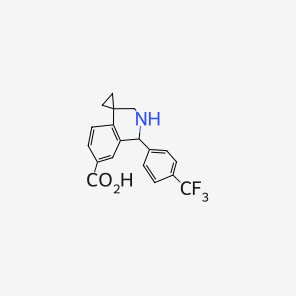 O=C(O)c1ccc2c(c1)C(c1ccc(C(F)(F)F)cc1)NCC21CC1